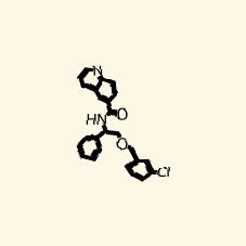 O=C(NC(COCc1cccc(Cl)c1)c1ccccc1)c1ccc2ncccc2c1